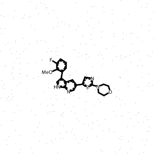 COc1c(F)cccc1-c1c[nH]c2ncc(-c3cnc(N4CCOCC4)s3)cc12